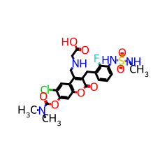 CNS(=O)(=O)Nc1cccc(Cc2c(CNCC(=O)O)c3cc(Cl)c(OC(=O)N(C)C)cc3oc2=O)c1F